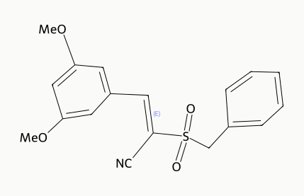 COc1cc(/C=C(\C#N)S(=O)(=O)Cc2ccccc2)cc(OC)c1